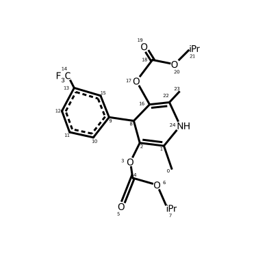 CC1=C(OC(=O)OC(C)C)C(c2cccc(C(F)(F)F)c2)C(OC(=O)OC(C)C)=C(C)N1